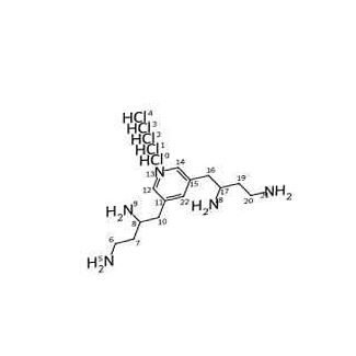 Cl.Cl.Cl.Cl.Cl.NCCC(N)Cc1cncc(CC(N)CCN)c1